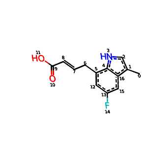 Cc1c[nH]c2c(C/C=C/C(=O)O)cc(F)cc12